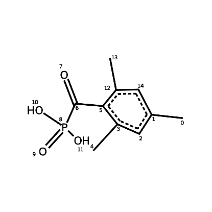 Cc1cc(C)c(C(=O)P(=O)(O)O)c(C)c1